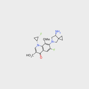 COc1c(N2C[C@@H](N)C3(CC3)C2)c(F)cc2c(=O)c(C(=O)O)cn([C@@H]3C[C@@H]3F)c12